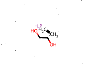 C=C.OCCO.P